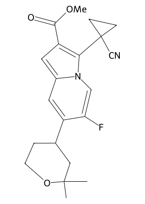 COC(=O)c1cc2cc(C3CCOC(C)(C)C3)c(F)cn2c1C1(C#N)CC1